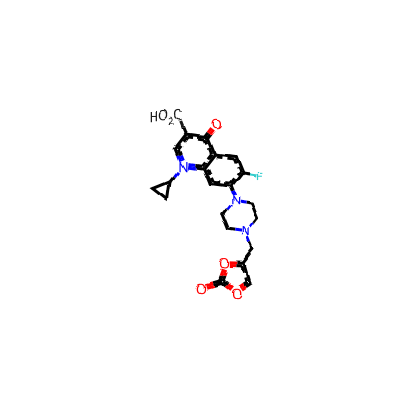 O=C(O)c1cn(C2CC2)c2cc(N3CCN(Cc4coc(=O)o4)CC3)c(F)cc2c1=O